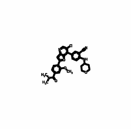 COc1cc(C(=O)N(C)C)ccc1-c1cc2ncc(Cl)c(-c3ccc(NC4CCOCC4)c(C#N)c3)c2o1